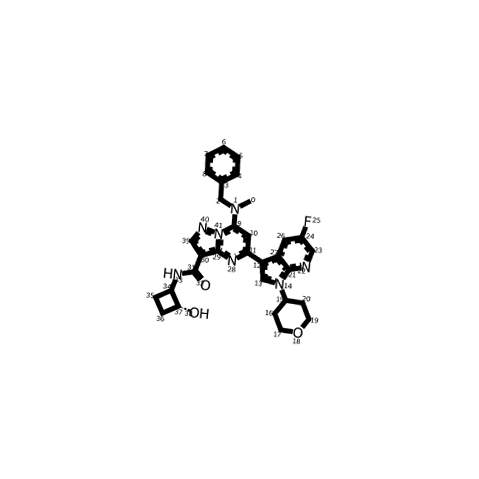 CN(Cc1ccccc1)c1cc(-c2cn(C3CCOCC3)c3ncc(F)cc23)nc2c(C(=O)NC3CC[C@H]3O)cnn12